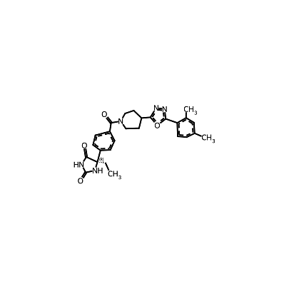 CC[C@]1(c2ccc(C(=O)N3CCC(c4nnc(-c5ccc(C)cc5C)o4)CC3)cc2)NC(=O)NC1=O